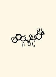 CN(C(=O)NC1CCC2(CC2)N(C)C1)C1Nc2c(ccc3c2CCO3)S1